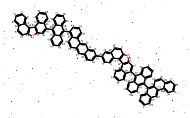 c1ccc2c(-c3c4ccccc4c(-c4cc5oc6ccc7cc(-c8ccc9cc%10ccc%11c(-c%12c%13ccccc%13c(-c%13cc%14oc%15ccc%16ccccc%16c%15c%14c%14ccccc%13%14)c%13ccccc%12%13)cccc%11c%10cc9c8)ccc7c6c5c5ccccc45)c4ccccc34)c3ccc4ccccc4c3cc2c1